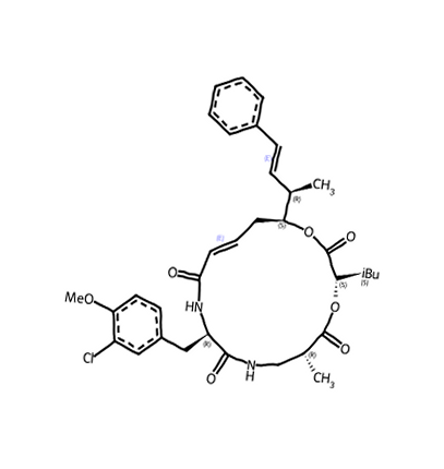 CC[C@H](C)[C@@H]1OC(=O)[C@H](C)CNC(=O)[C@@H](Cc2ccc(OC)c(Cl)c2)NC(=O)/C=C/C[C@@H]([C@H](C)/C=C/c2ccccc2)OC1=O